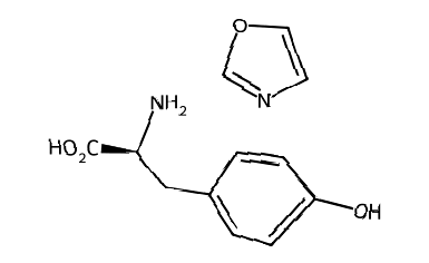 N[C@@H](Cc1ccc(O)cc1)C(=O)O.c1cocn1